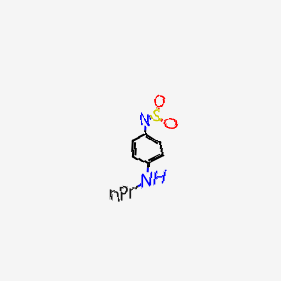 CCCNc1ccc(N=S(=O)=O)cc1